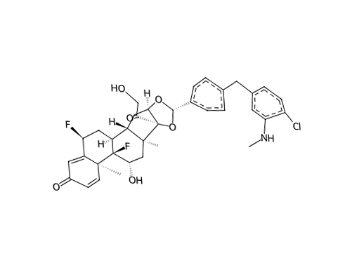 CNc1cc(Cc2ccc([C@H]3O[C@@H]4C[C@H]5[C@@H]6C[C@H](F)C7=CC(=O)C=C[C@]7(C)[C@@]6(F)[C@@H](O)C[C@]5(C)[C@]4(C(=O)CO)O3)cc2)ccc1Cl